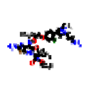 C[n+]1cc(-c2ccc(OC[C@H](O/N=C(\C(=O)N[C@@H]3C(=O)N(OS(=O)(=O)O)C3(C)C)c3csc(N)n3)C(=O)O)cc2F)cn1CCCN